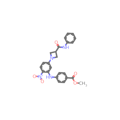 COC(=O)c1ccc(Nc2cc(N3CC(C(=O)Nc4ccccc4)C3)ccc2[N+](=O)[O-])cc1